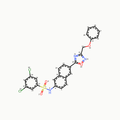 O=S(=O)(Nc1ccc2cc(-c3nc(COc4ccccc4)no3)ccc2c1)c1cc(Cl)cc(Cl)c1